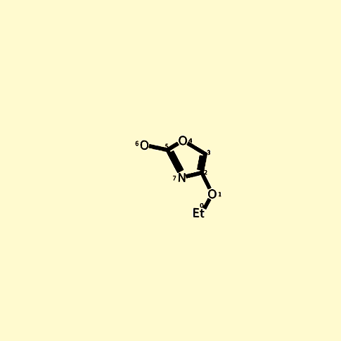 CCOc1coc([O])n1